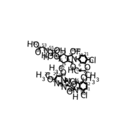 C#CC(C)Oc1cc(N2C(=O)C3=C(CCCC3)C2=O)c(F)cc1Cl.COc1cc(OC)n2nc(S(=O)(=O)Nc3c(Cl)ccc(C)c3Cl)nc2n1.O=C(O)CNCP(=O)(O)O